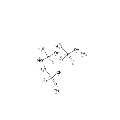 NP(=O)(O)O.NP(=O)(O)O.NP(=O)(O)O.P.P